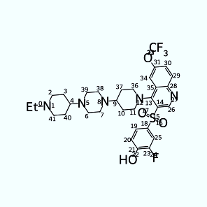 CCN1CCC(N2CCN(C3CCN(c4c(S(=O)(=O)c5ccc(O)c(F)c5)cnc5ccc(OC(F)(F)F)cc45)CC3)CC2)CC1